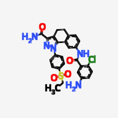 CCS(=O)(=O)c1ccc(-n2nc(C(N)=O)c3c2-c2cc(NC(=O)c4cc(N)ccc4Cl)ccc2CC3)cc1